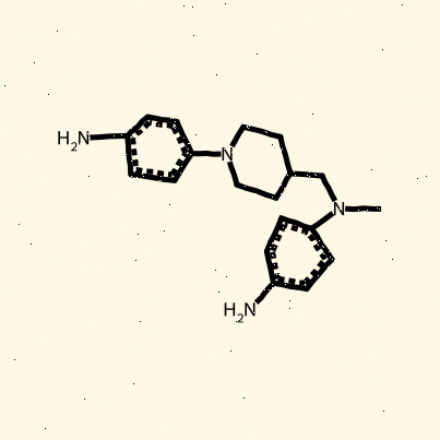 CN(CC1CCN(c2ccc(N)cc2)CC1)c1ccc(N)cc1